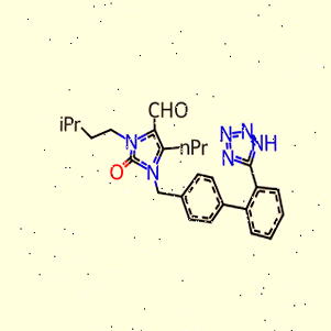 CCCc1c(C=O)n(CCC(C)C)c(=O)n1Cc1ccc(-c2ccccc2-c2nnn[nH]2)cc1